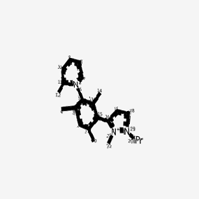 Cc1cc(C)c(-[n+]2ccccc2C)c(C)c1-c1ccn(C(C)C)[n+]1C